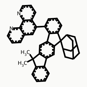 CC1(C)c2ccccc2-c2cc3c(cc21)-c1c(-c2cc4cccnc4c4ncccc24)cccc1C31C2CC3CC(C2)CC1C3